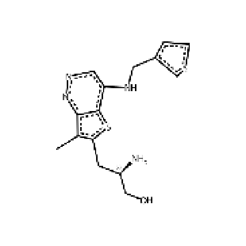 Cc1c(C[C@@H](N)CO)sc2c(NCc3ccsc3)cnnc12